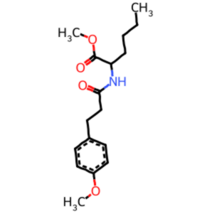 CCCCC(NC(=O)CCc1ccc(OC)cc1)C(=O)OC